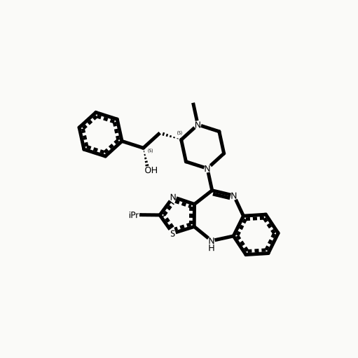 CC(C)c1nc2c(s1)Nc1ccccc1N=C2N1CCN(C)[C@@H](C[C@H](O)c2ccccc2)C1